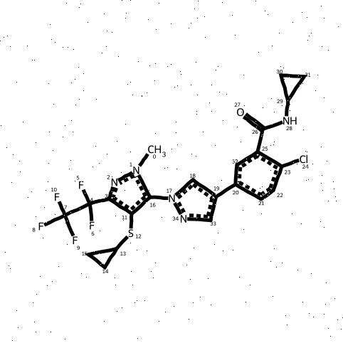 Cn1nc(C(F)(F)C(F)(F)F)c(SC2CC2)c1-n1cc(-c2ccc(Cl)c(C(=O)NC3CC3)c2)cn1